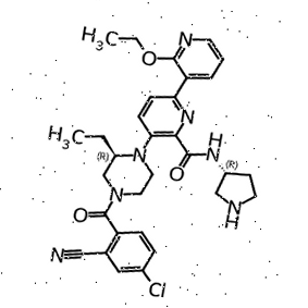 CCOc1ncccc1-c1ccc(N2CCN(C(=O)c3ccc(Cl)cc3C#N)C[C@H]2CC)c(C(=O)N[C@@H]2CCNC2)n1